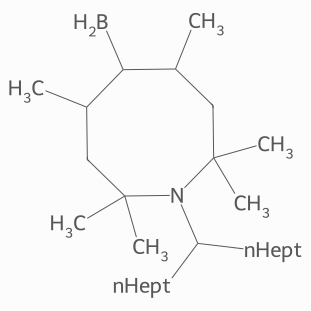 BC1C(C)CC(C)(C)N(C(CCCCCCC)CCCCCCC)C(C)(C)CC1C